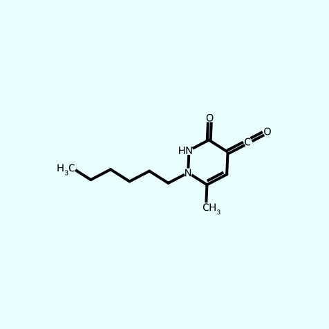 CCCCCCN1NC(=O)C(=C=O)C=C1C